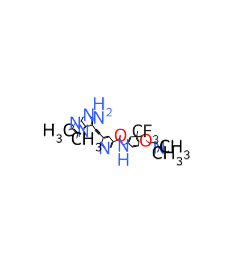 Cc1nc2cnc(N)c(C#Cc3cncc(C(=O)Nc4ccc(OCCN(C)C)c(C(F)(F)F)c4)c3)c2nc1C